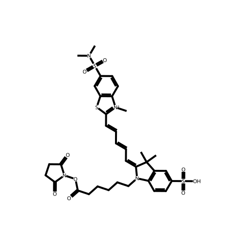 CN(C)S(=O)(=O)c1ccc2c(c1)sc(/C=C/C=C/C=C1/N(CCCCCC(=O)ON3C(=O)CCC3=O)c3ccc(S(=O)(=O)O)cc3C1(C)C)[n+]2C